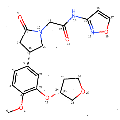 COc1ccc([C@@H]2CC(=O)N(CC(=O)Nc3ccon3)C2)cc1O[C@@H]1CCOC1